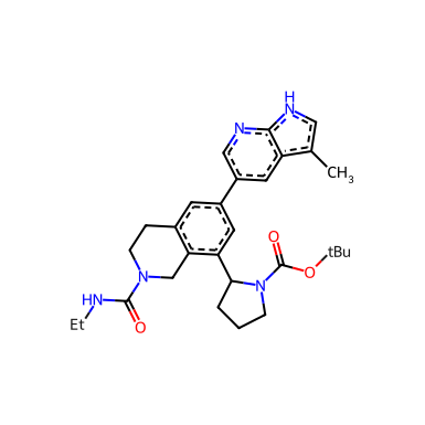 CCNC(=O)N1CCc2cc(-c3cnc4[nH]cc(C)c4c3)cc(C3CCCN3C(=O)OC(C)(C)C)c2C1